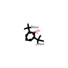 CCCCCC(C)(C)c1cccc(C(C)(C)CCCCC)c1O